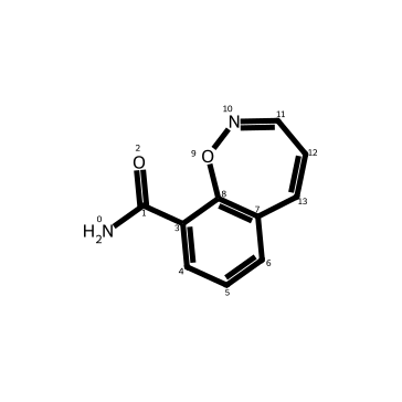 NC(=O)c1cccc2c1ON=CC=C2